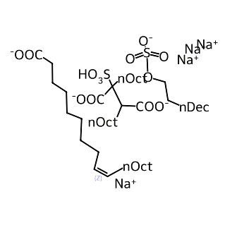 CCCCCCCC/C=C\CCCCCCCC(=O)[O-].CCCCCCCCC(C(=O)[O-])C(CCCCCCCC)(C(=O)[O-])S(=O)(=O)O.CCCCCCCCCCCCOS(=O)(=O)[O-].[Na+].[Na+].[Na+].[Na+]